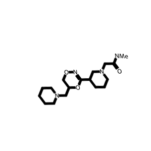 CNC(=O)CN1CCCC(C2=NOCC(CN3CCCCC3)O2)C1